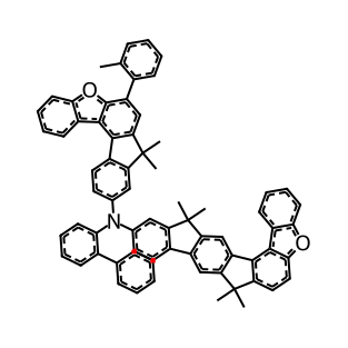 Cc1ccccc1-c1cc2c(c3c1oc1ccccc13)-c1ccc(N(c3ccc4c(c3)C(C)(C)c3cc5c(cc3-4)C(C)(C)c3ccc4oc6ccccc6c4c3-5)c3ccccc3-c3ccccc3)cc1C2(C)C